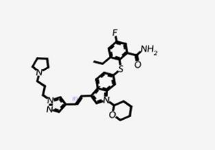 CCc1cc(F)cc(C(N)=O)c1Sc1ccc2c(/C=C/c3cnn(CCCN4CCCC4)c3)cn(C3CCCCO3)c2c1